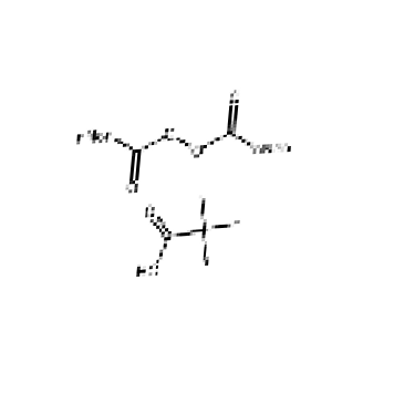 CC(C)(C)C(=O)O.CCCCCCCCCC(=O)OOC(=O)CCCCCCCCC